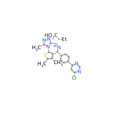 CCC(C(=O)O)[C@@H]1N=C(c2ccc(-c3cc(Cl)ncn3)cc2)c2c(sc(C)c2C)-n2c(C)nnc21